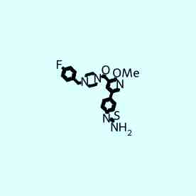 COc1ncc(-c2ccc3nc(N)sc3c2)cc1C(=O)N1CCN(Cc2ccc(F)cc2)CC1